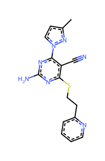 Cc1ccn(-c2nc(N)nc(SCCc3ccccn3)c2C#N)n1